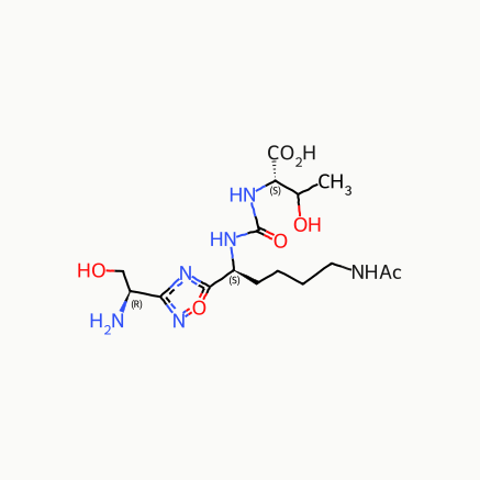 CC(=O)NCCCC[C@H](NC(=O)N[C@H](C(=O)O)C(C)O)c1nc([C@@H](N)CO)no1